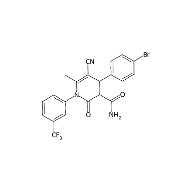 CC1=C(C#N)C(c2ccc(Br)cc2)C(C(N)=O)C(=O)N1c1cccc(C(F)(F)F)c1